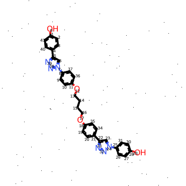 Oc1ccc(-c2cn(-c3ccc(OCCCCOc4ccc(-c5cn(-c6ccc(O)cc6)nn5)cc4)cc3)nn2)cc1